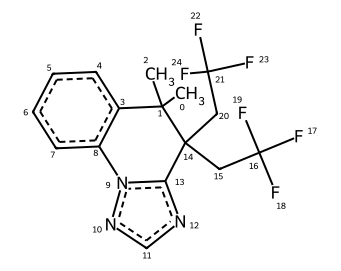 CC1(C)c2ccccc2-n2ncnc2C1(CC(F)(F)F)CC(F)(F)F